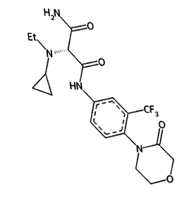 CCN(C1CC1)[C@H](C(N)=O)C(=O)Nc1ccc(N2CCOCC2=O)c(C(F)(F)F)c1